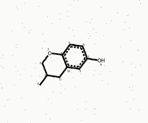 CC1COc2ccc(O)cc2C1